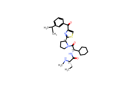 CC[C@H](NC)C(=O)N[C@H](C(=O)N1CCC[C@H]1c1nc(C(=O)c2cccc(C(C)C)c2)cs1)C1CCCCC1